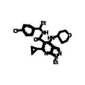 CCC(NC(=O)c1c(C2CC2)nc2c(cnn2CC)c1NC1CCOCC1)c1ccc(Cl)cc1